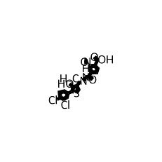 C/C(=N\NC(=O)c1ccc(C(=O)O)c(N=O)c1)c1csc(-c2ccc(Cl)c(Cl)c2)c1O